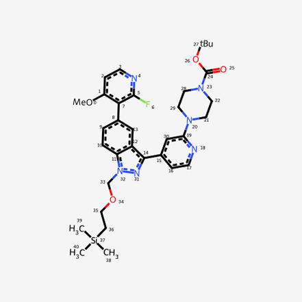 COc1ccnc(F)c1-c1ccc2c(c1)c(-c1ccnc(N3CCN(C(=O)OC(C)(C)C)CC3)c1)nn2COCC[Si](C)(C)C